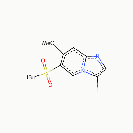 COc1cc2ncc(I)n2cc1S(=O)(=O)C(C)(C)C